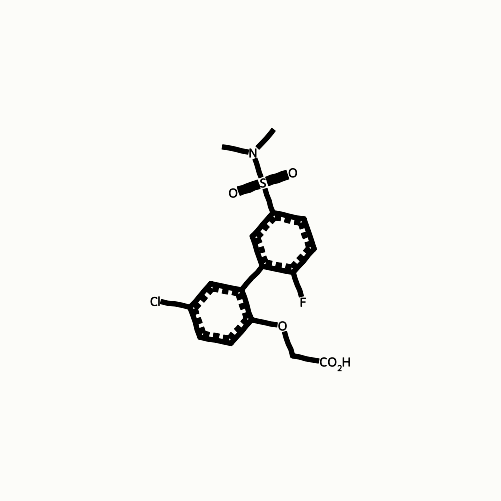 CN(C)S(=O)(=O)c1ccc(F)c(-c2cc(Cl)ccc2OCC(=O)O)c1